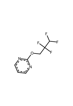 FC(F)C(F)(F)COc1ncccn1